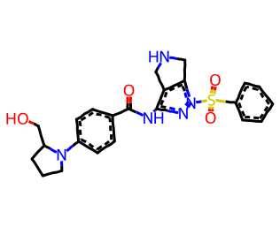 O=C(Nc1nn(S(=O)(=O)c2ccccc2)c2c1CNC2)c1ccc(N2CCCC2CO)cc1